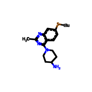 Cc1nc(N2CCC(N)CC2)c2ccc(SC(C)(C)C)cc2n1